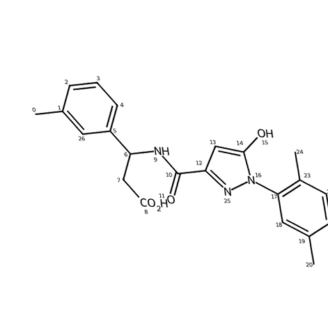 Cc1cccc(C(CC(=O)O)NC(=O)c2cc(O)n(-c3cc(C)ccc3C)n2)c1